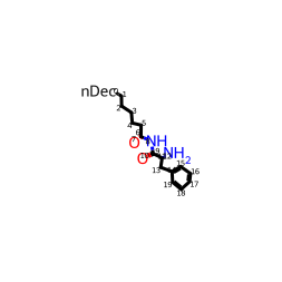 CCCCCCCCCCCCCCCC(=O)NC(=O)[C@@H](N)Cc1ccccc1